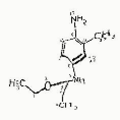 CCOC(C)Nc1ccc(N)c(C)c1